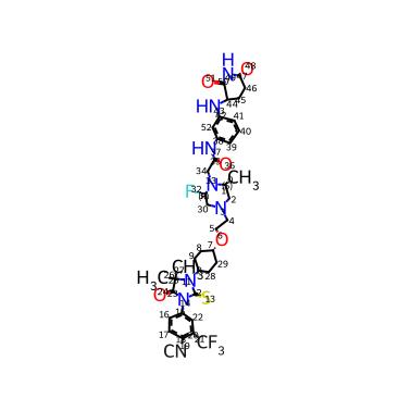 C[C@H]1CN(CCO[C@H]2CC[C@H](N3C(=S)N(c4ccc(C#N)c(C(F)(F)F)c4)C(=O)C3(C)C)CC2)C[C@@H](F)N1CC(=O)Nc1cccc(NC2CCC(=O)NC2=O)c1